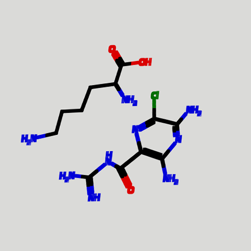 N=C(N)NC(=O)c1nc(Cl)c(N)nc1N.NCCCCC(N)C(=O)O